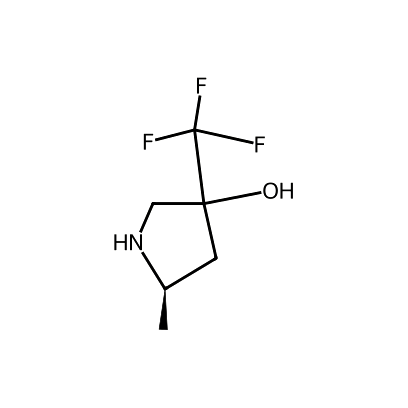 C[C@@H]1CC(O)(C(F)(F)F)CN1